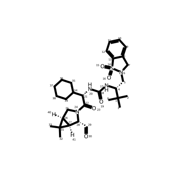 CC(C)(C)[C@@H](CN1Cc2ccccc2S1(=O)=O)NC(=O)N[C@H](C(=O)N1C[C@H]2[C@@H]([C@H]1C=O)C2(C)C)C1CCCCC1